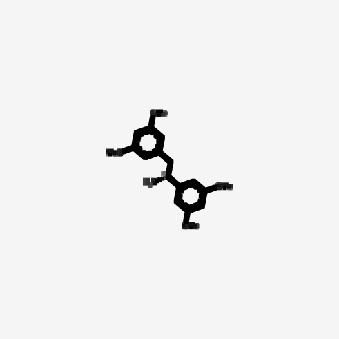 COc1cc(C[C@@H](N)c2cc(OC)cc(OC)c2)cc(OC)c1